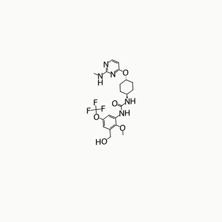 CNc1nccc(O[C@H]2CC[C@H](NC(=O)Nc3cc(OC(F)(F)F)cc(CO)c3OC)CC2)n1